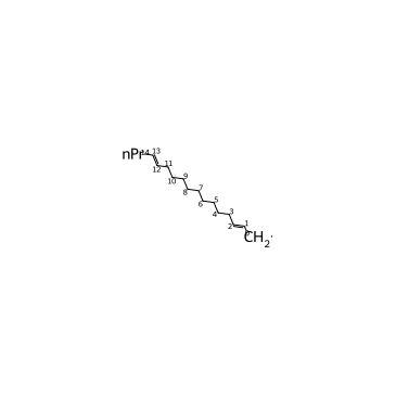 [CH2]C=CCCCCCCCCCC=CCCC